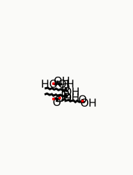 C=CC(=O)O.CCCCCCCCCC(=O)O.CCCCCCCCCC(=O)O.CCCCCCCCCC(=O)O.OCC(O)CO